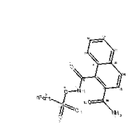 CCCCCS(=O)(=O)ONC(=O)c1c(C(N)=O)ccc2ccccc12